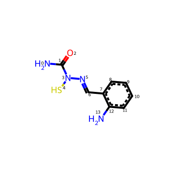 NC(=O)N(S)N=Cc1ccccc1N